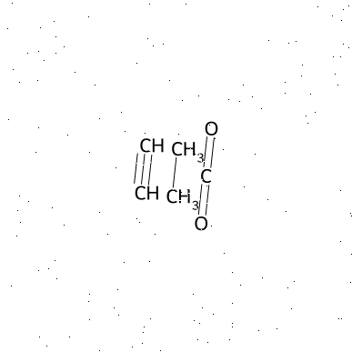 C#C.CC.O=C=O